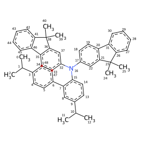 CC(C)c1ccc(-c2cc(C(C)C)ccc2N(c2ccc3c(c2)C(C)(C)c2ccccc2-3)c2ccc3c(c2)C(C)(C)c2ccccc2-3)cc1